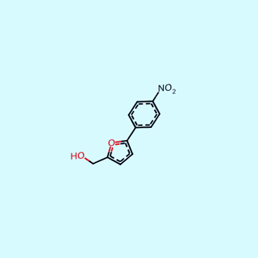 O=[N+]([O-])c1ccc(-c2ccc(CO)o2)cc1